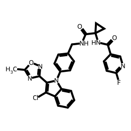 Cc1nc(-c2c(Cl)c3ccccc3n2-c2ccc(CNC(=O)C3(NC(=O)c4ccc(F)nc4)CC3)cc2)no1